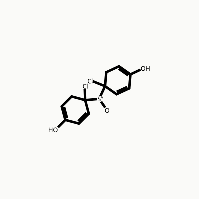 [O-][S+](C1(Cl)C=CC(O)=CC1)C1(Cl)C=CC(O)=CC1